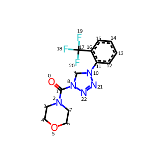 O=C(N1CCOCC1)N1CN(c2ccccc2C(F)(F)F)N=N1